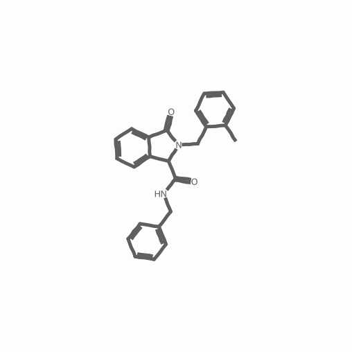 Cc1ccccc1CN1C(=O)c2ccccc2C1C(=O)NCc1ccccc1